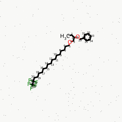 CCC(COCCCCCCCCCCCCCCCCC(F)(F)C(F)(F)F)OCc1ccccc1